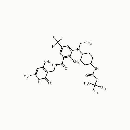 CCN(c1cc(C(F)(F)F)cc(C(=O)NCc2c(C)cc(C)[nH]c2=O)c1C)C1CCC(NC(=O)OC(C)(C)C)CC1